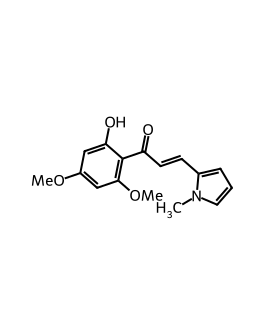 COc1cc(O)c(C(=O)C=Cc2cccn2C)c(OC)c1